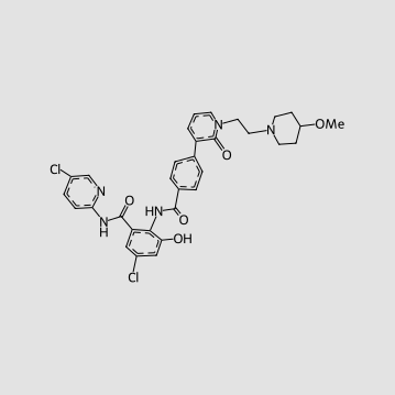 COC1CCN(CCn2cccc(-c3ccc(C(=O)Nc4c(O)cc(Cl)cc4C(=O)Nc4ccc(Cl)cn4)cc3)c2=O)CC1